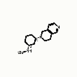 CC(C)(C)N[C@H]1CCC[C@H](N2CCc3cnccc3C2)C1